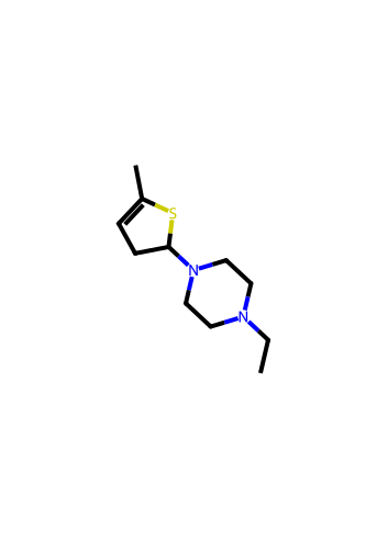 CCN1CCN(C2CC=C(C)S2)CC1